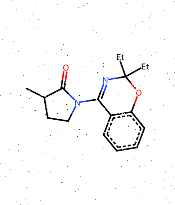 CCC1(CC)N=C(N2CCC(C)C2=O)c2ccccc2O1